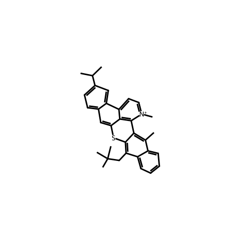 Cc1c2c(c(CC(C)(C)C)c3ccccc13)Sc1cc3ccc(C(C)C)cc3c3cc[n+](C)c-2c13